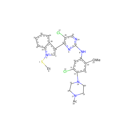 CCSn1cc(-c2nc(Nc3cc(Cl)c(N4CCN(C(C)=O)CC4)cc3OC)ncc2Cl)c2ccccc21